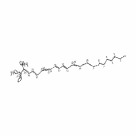 CCCCCCCCCCCC=CC=CC=CC=CC=C(O)C(=O)O